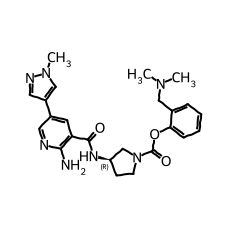 CN(C)Cc1ccccc1OC(=O)N1CC[C@@H](NC(=O)c2cc(-c3cnn(C)c3)cnc2N)C1